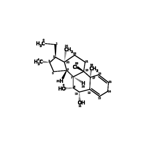 CC[C@@H]1[C@@H](C)C[C@H]2[C@@H]3[C@@H](O)[C@@H](O)C4=CCC=C[C@]4(C)[C@@]3(Cl)CC[C@]12C